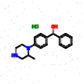 CC1CNCCN1c1ccc(C(O)c2ccccc2)cc1.Cl